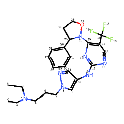 CCN(CC)CCCn1cc(Nc2ncc(C(F)(F)F)c(N3OCCC3c3ccccc3)n2)cn1